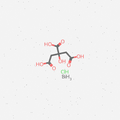 Cl.O=C(O)CC(O)(CC(=O)O)C(=O)O.[BiH3]